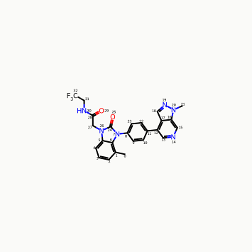 Cc1cccc2c1n(-c1ccc(-c3cncc4c3cnn4C)cc1)c(=O)n2CC(=O)NCC(F)(F)F